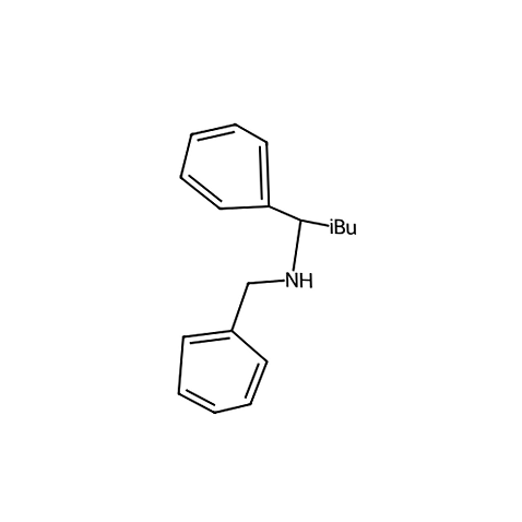 CCC(C)C(NCc1ccccc1)c1ccccc1